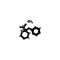 C.C[SiH](C)C1(Cc2ccccc2)CCCCO1